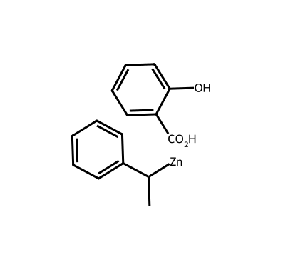 C[CH]([Zn])c1ccccc1.O=C(O)c1ccccc1O